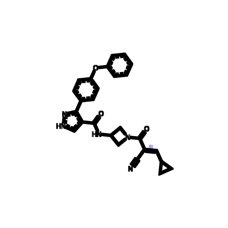 N#C/C(=C\C1CC1)C(=O)N1CC(NC(=O)c2c[nH]nc2-c2ccc(Oc3ccccc3)cc2)C1